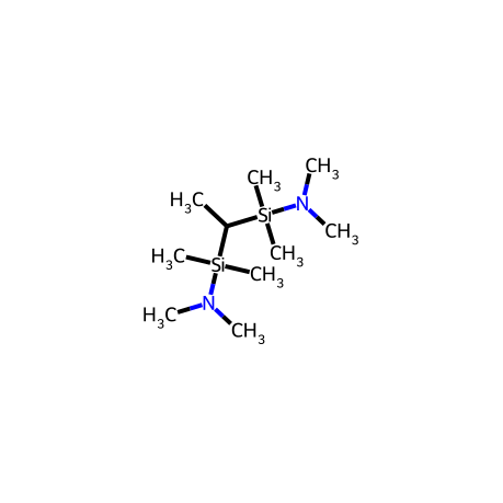 CC([Si](C)(C)N(C)C)[Si](C)(C)N(C)C